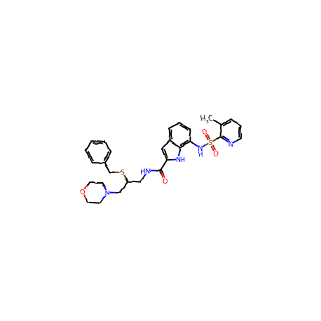 Cc1cccnc1S(=O)(=O)Nc1cccc2cc(C(=O)NCC(CN3CCOCC3)SCc3ccccc3)[nH]c12